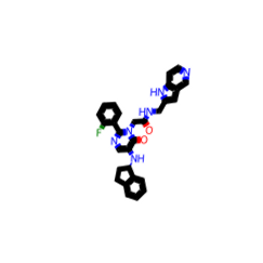 O=C(Cn1c(-c2ccccc2F)ncc(N[C@H]2CCc3ccccc32)c1=O)NCc1cc2cnccc2[nH]1